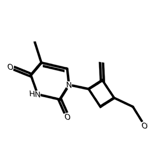 C=C1C(CO)CC1n1cc(C)c(=O)[nH]c1=O